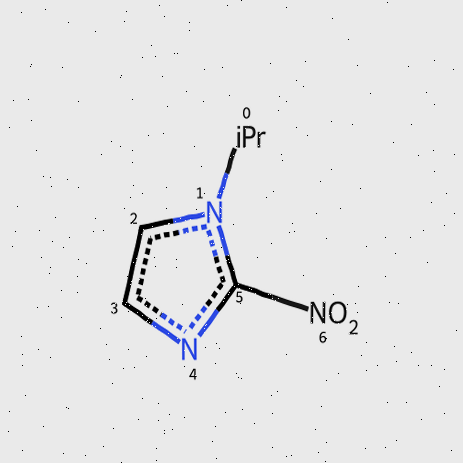 CC(C)n1ccnc1[N+](=O)[O-]